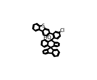 OC1(c2ccc(Cl)cc2-c2ccc3c(c2)sc2ccccc23)c2ccccc2C2(c3ccccc3-c3ccccc32)c2ccccc21